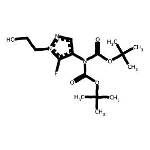 CC(C)(C)OC(=O)N(C(=O)OC(C)(C)C)c1cnn(CCO)c1F